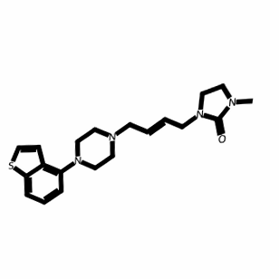 CN1CCN(C/C=C/CN2CCN(c3cccc4sccc34)CC2)C1=O